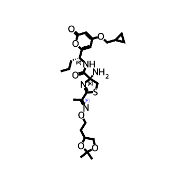 CCC[C@@H](NC(=O)[C@]1(N)CSC(/C(C)=N/OCCC2COC(C)(C)O2)=N1)c1cc(OCC2CC2)cc(=O)o1